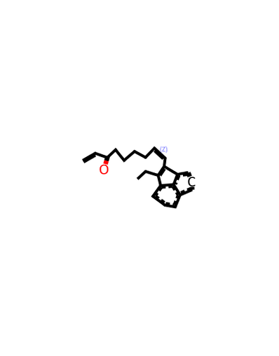 C=CC(=O)CCCC/C=C\C1=C(CC)c2cccc3cccc1c23